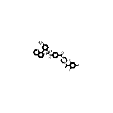 CC(c1c(F)cc(F)cc1F)N1CCN(C(=O)c2ccc(NS(=O)(=O)c3ccc(N)cc3-c3cccc4cccnc34)cc2)CC1